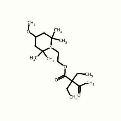 CCC(CC)(C(C)=O)C(=O)OCCN1C(C)(C)CC(OC)CC1(C)C